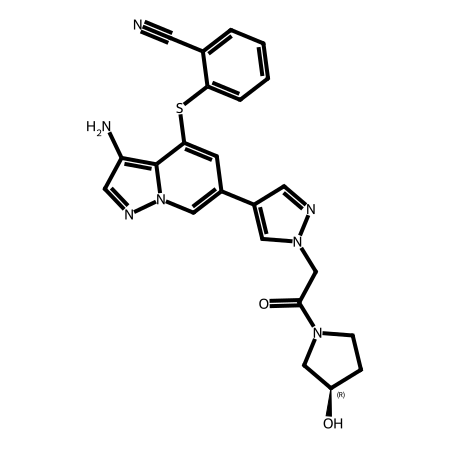 N#Cc1ccccc1Sc1cc(-c2cnn(CC(=O)N3CC[C@@H](O)C3)c2)cn2ncc(N)c12